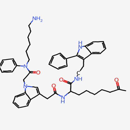 CC(=O)CCCCCC(NC(=O)Cc1cn(CC(=O)N(CCCCCCN)c2ccccc2)c2ccccc12)C(=O)NCCc1c(-c2ccccc2)[nH]c2ccccc12